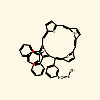 C1=Cc2cc3c(-c4ccccc4)c(-c4ccccc4)c(c(-c4ccccc4)c4nc(cc5ccc(cc1n2)[nH]5)C=C4)n3-c1ccccc1.[OH][Sn][OH]